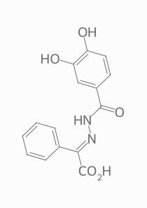 O=C(O)C(=NNC(=O)c1ccc(O)c(O)c1)c1ccccc1